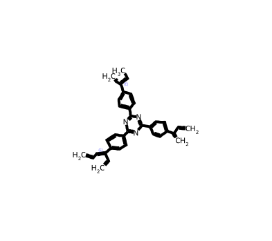 C=C/C=C(\C=C)c1ccc(-c2nc(-c3ccc(C(=C)C=C)cc3)nc(-c3ccc(/C(C=C)=C/C)cc3)n2)cc1